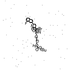 COc1nc(-c2ccc3cccc(F)c3c2)ccc1C(C(=O)NCCOCCOCCNC(=O)OC(C)(C)C)C(C)C